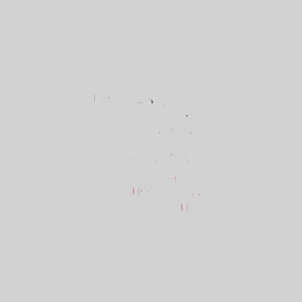 O=S(=O)(O)c1ccccc1.O=S(=O)(O)c1ccccc1.O=S(=O)(O)c1ccccc1.O=S(=O)(O)c1ccccc1.OCC(O)C(O)CO